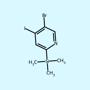 C[Si](C)(C)c1cc(I)c(Br)cn1